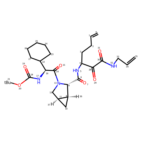 C=CCCC(NC(=O)[C@@H]1[C@H]2C[C@H]2CN1C(=O)[C@@H](NC(=O)OC(C)(C)C)C1CCCCC1)C(=O)C(=O)NCC=C